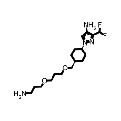 NCCCOCCCOC[C@H]1CC[C@H](n2cc(N)c(C(F)F)n2)CC1